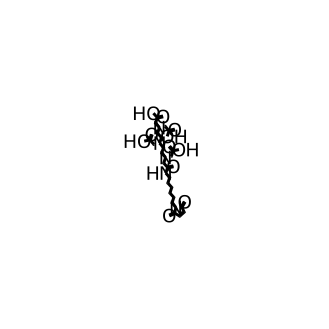 O=C(O)CN(CCN(CC(=O)O)CC(=O)O)CCN(CC(=O)O)CC(=O)NCCCCCCN1C(=O)C=CC1=O